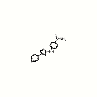 N[S+]([O-])c1ccc(Nc2nc(-c3ccncc3)cs2)cc1